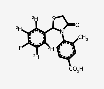 [2H]c1c([2H])c(C2SCC(=O)N2c2ccc(C(=O)O)cc2C)c([2H])c([2H])c1F